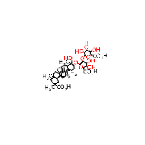 CC1(C(=O)O)CCC2(C)CCC3(C)C(=CCC4C5(C)CCC(OC6OC(C(=O)O)C(O)C(O)C6OC6OC(C(=O)O)C(O)C(O)C6O)C(C)(CO)C5CCC43C)C2C1